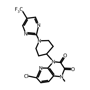 Cn1c(=O)c(=O)n(C2CCN(c3ncc(C(F)(F)F)cn3)CC2)c2nc(Cl)ccc21